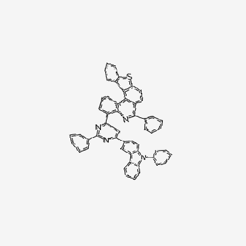 c1ccc(-c2nc(-c3ccc4c(c3)c3ccccc3n4-c3ccccc3)cc(-c3cccc4c3nc(-c3ccccc3)c3ccc5sc6ccccc6c5c34)n2)cc1